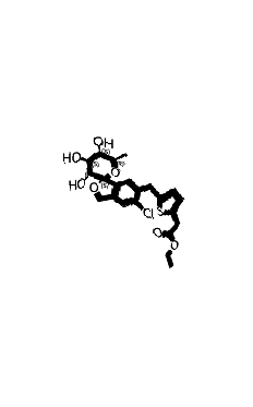 CCOC(=O)Cc1ccc(Cc2cc3c(cc2Cl)CO[C@]32O[C@H](C)[C@@H](O)[C@H](O)[C@H]2O)s1